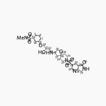 CNS(=O)(=O)c1cccc(OCC(O)CNC2COC3(CCN(S(=O)(=O)c4cnc5c(c4)C(=O)NC5)CC3)C2)c1